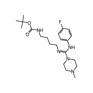 CN1CCN(C(=NCCCCNC(=O)OC(C)(C)C)Nc2ccc(F)cc2)CC1